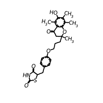 Cc1c(C)c2c(c(C)c1O)C(=O)CC(C)(CCCOc1ccc(CC3SC(=O)NC3=O)cc1)O2